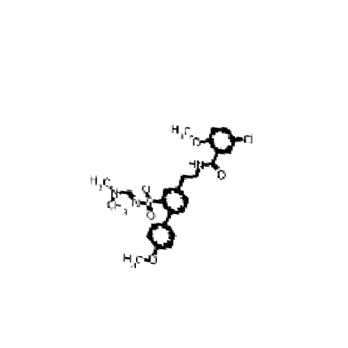 COc1ccc(-c2ccc(CCNC(=O)c3cc(Cl)ccc3OC)cc2S(=O)(=O)N=CN(C)C)cc1